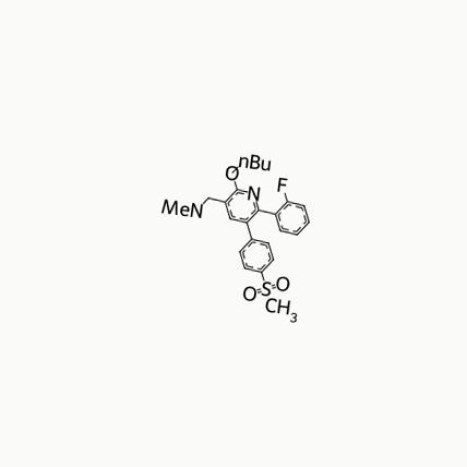 CCCCOc1nc(-c2ccccc2F)c(-c2ccc(S(C)(=O)=O)cc2)cc1CNC